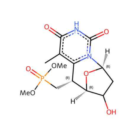 COP(=O)(C[C@@H]1c2c(C)c(=O)[nH]c(=O)n2[C@H]2CC(O)[C@@H]1O2)OC